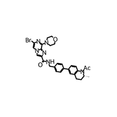 CC(=O)N1c2ccc(-c3ccc(CNC(=O)c4cn5cc(Br)nc(N6CCOCC6)c5n4)cc3)cc2CC[C@H]1C